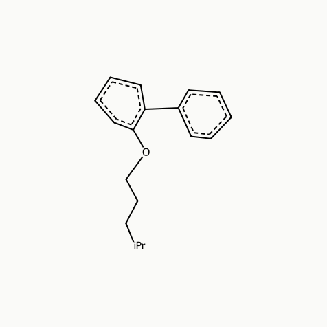 CC(C)CCCOc1ccccc1-c1ccccc1